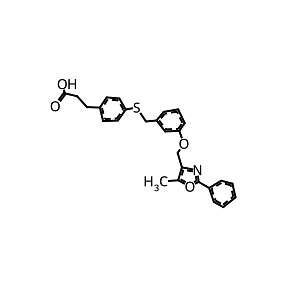 Cc1oc(-c2ccccc2)nc1COc1cccc(CSc2ccc(CCC(=O)O)cc2)c1